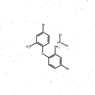 CCPCC.Nc1cc(Br)ccc1Oc1ccc(Br)cc1N